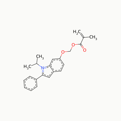 C=C(C)C(=O)OCOc1ccc2cc(-c3ccccc3)n(C(C)C)c2c1